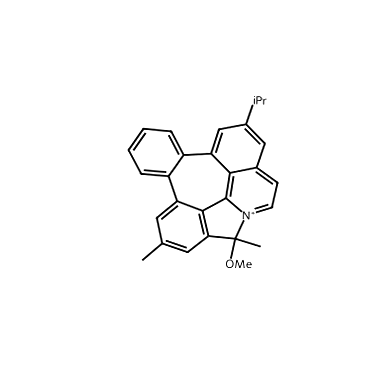 COC1(C)c2cc(C)cc3c2-c2c4c(cc(C(C)C)cc4cc[n+]21)-c1ccccc1-3